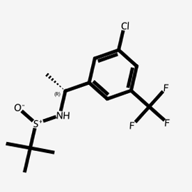 C[C@@H](N[S+]([O-])C(C)(C)C)c1cc(Cl)cc(C(F)(F)F)c1